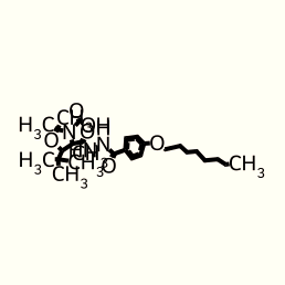 CCCCCCCCOc1ccc(C(=O)NNC(=O)C2(C)C(C(C)(C)C)OC(C)(C)N2C(=O)O)cc1